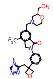 Cn1cnnc1CC1(c2cccc(N3Cc4c(cc(CN5CCO[C@H](CO)C5)cc4C(F)(F)F)C3=O)c2)COC1